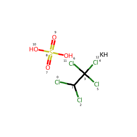 ClC(Cl)C(Cl)(Cl)Cl.O=S(=O)(O)O.[KH]